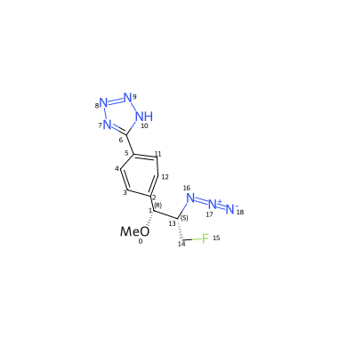 CO[C@H](c1ccc(-c2nnn[nH]2)cc1)[C@@H](CF)N=[N+]=[N-]